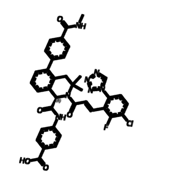 CNC(=O)c1ccc(-c2cccc3c2CC(C)(C)N(C(=O)C=Cc2c(-n4cnnn4)ccc(Cl)c2F)[C@H]3C(=O)Nc2ccc(C(=O)O)cc2)cc1